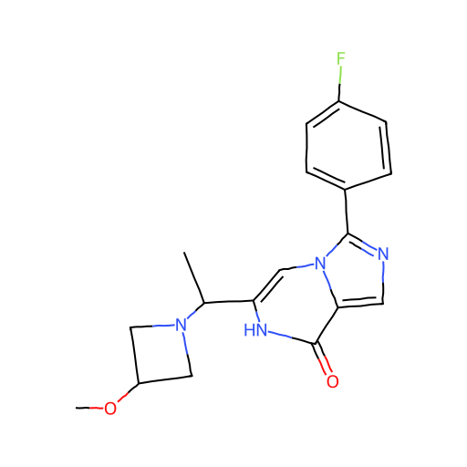 COC1CN(C(C)c2cn3c(-c4ccc(F)cc4)ncc3c(=O)[nH]2)C1